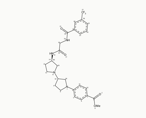 COC(=O)c1ccc(N2CCC(N3CC[C@@H](NC(=O)CNC(=O)c4cccc(C(F)(F)F)c4)C3)C2)cc1